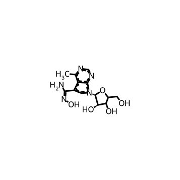 Cc1ncnc2c1c(/C(N)=N\O)cn2[C@@H]1OC(CO)C(O)[C@H]1O